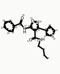 CCCCNC(=O)c1c(-c2ccsc2)noc1NC(=O)c1ccccc1